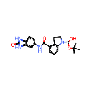 CC(C)(C)OC(O)N1CCc2c(C(=O)Nc3ccc4[nH]c(=O)[nH]c4c3)cccc21